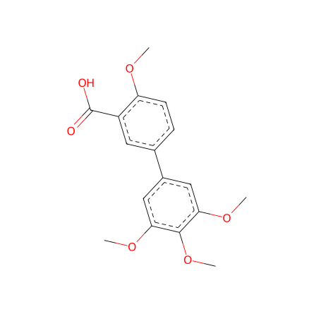 COc1ccc(-c2cc(OC)c(OC)c(OC)c2)cc1C(=O)O